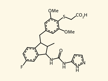 COc1cc(CC2c3ccc(F)cc3C(NC(=O)Nc3ccn[nH]3)C2C)cc(OC)c1SCC(=O)O